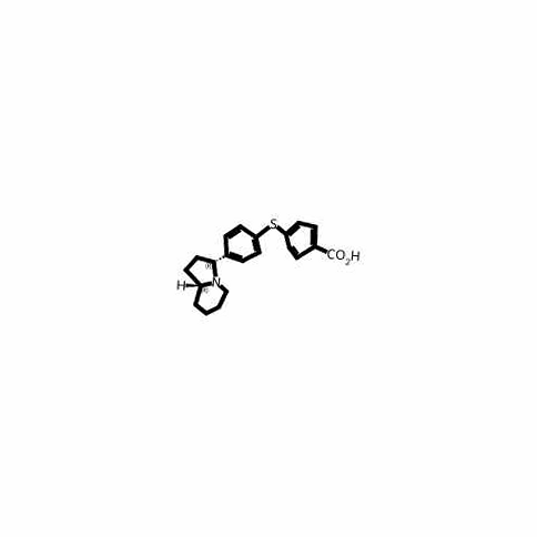 O=C(O)c1ccc(Sc2ccc([C@H]3CC[C@H]4CCCCN43)cc2)cc1